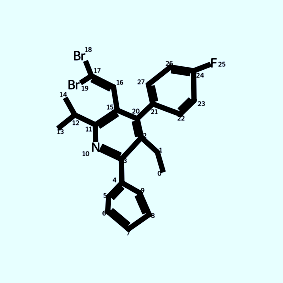 CCc1c(-c2ccccc2)nc(C(C)C)c(C=C(Br)Br)c1-c1ccc(F)cc1